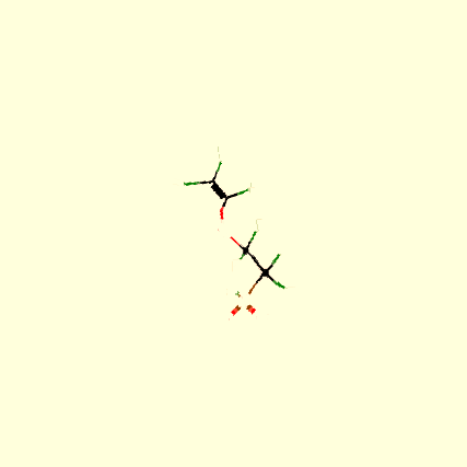 O=S(=O)(Cl)C(F)(F)C(F)(F)OC(F)=C(F)F